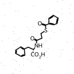 O=C(CCSC(=O)c1ccccc1)N[C@@H](Cc1ccccc1)C(=O)O